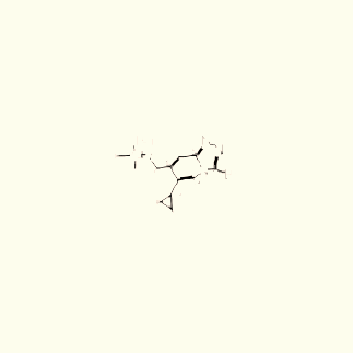 CC(C)(C)[Si](C)(C)OCc1cc2nnc(Br)n2cc1C1CC1